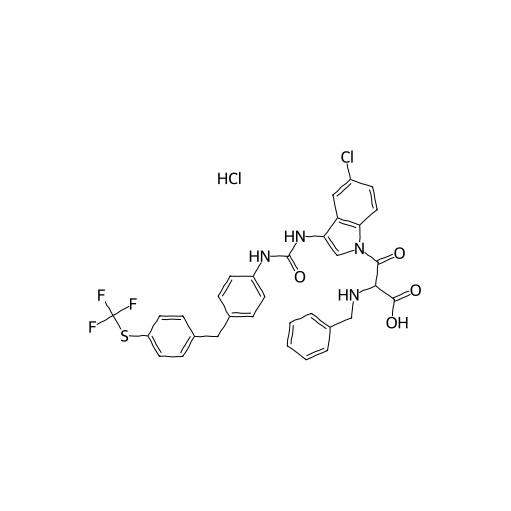 Cl.O=C(Nc1ccc(Cc2ccc(SC(F)(F)F)cc2)cc1)Nc1cn(C(=O)C(NCc2ccccc2)C(=O)O)c2ccc(Cl)cc12